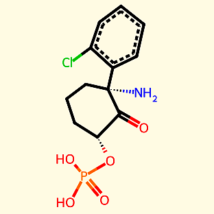 N[C@@]1(c2ccccc2Cl)CCC[C@@H](OP(=O)(O)O)C1=O